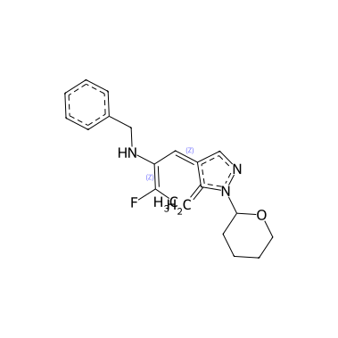 C=c1/c(=C\C(NCc2ccccc2)=C(/C)F)cnn1C1CCCCO1